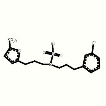 CCS(=O)(=O)N(CCCc1cccc(Cl)c1)CCCc1ccc(C(=O)O)o1